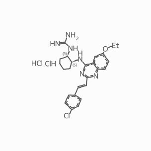 CCOc1ccc2nc(C=Cc3ccc(Cl)cc3)nc(N[C@H]3CCCC[C@H]3NC(=N)N)c2c1.Cl.Cl